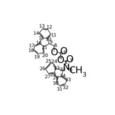 CN(C(=O)OC(=O)OCC1c2ccccc2-c2ccccc21)C1c2ccccc2-c2ccccc21